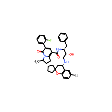 CCc1ccc2c(c1)[C@@H](NC[C@@H](O)[C@H](Cc1ccccc1)NC(=O)c1cc(-c3ccccc3F)c(=O)n3c1CCC3C)CC1(CCCC1)O2